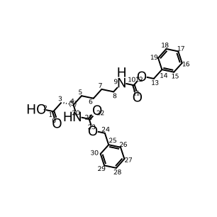 O=C(O)C[C@H](CCCCNC(=O)OCc1ccccc1)NC(=O)OCc1ccccc1